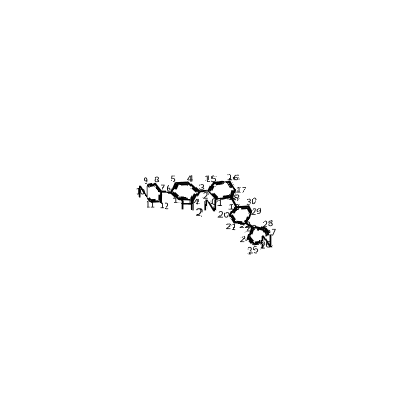 Nc1c(-c2ccc(-c3ccncc3)cc2)cccc1-c1ccc(-c2ccncc2)cc1